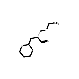 CCOC[C@H](C=O)CC1SCCCS1